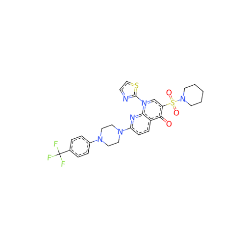 O=c1c(S(=O)(=O)N2CCCCC2)cn(-c2nccs2)c2nc(N3CCN(c4ccc(C(F)(F)F)cc4)CC3)ccc12